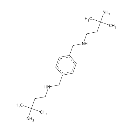 CC(C)(N)CCNCc1ccc(CNCCC(C)(C)N)cc1